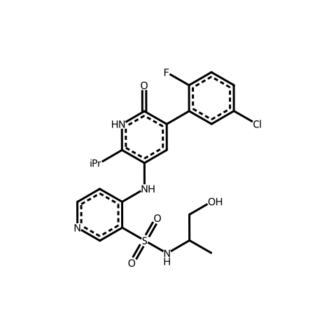 CC(CO)NS(=O)(=O)c1cnccc1Nc1cc(-c2cc(Cl)ccc2F)c(=O)[nH]c1C(C)C